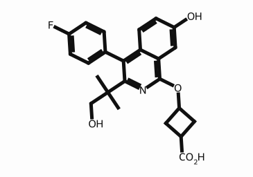 CC(C)(CO)c1nc(OC2CC(C(=O)O)C2)c2cc(O)ccc2c1-c1ccc(F)cc1